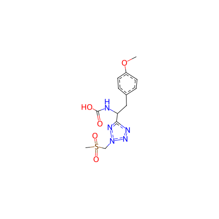 COc1ccc(CC(NC(=O)O)c2nnn(CS(C)(=O)=O)n2)cc1